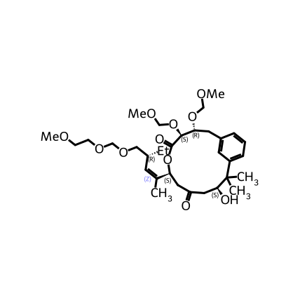 CC[C@H](/C=C(/C)[C@@H]1CC(=O)C[C@H](O)C(C)(C)c2cccc(c2)C[C@@H](OCOC)[C@H](OCOC)C(=O)O1)COCOCCOC